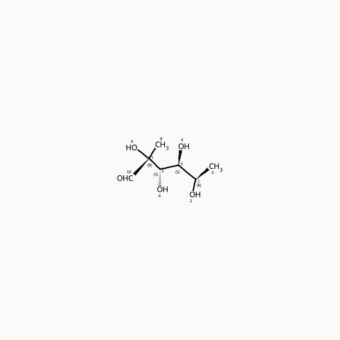 C[C@@H](O)[C@H](O)[C@H](O)[C@@](C)(O)C=O